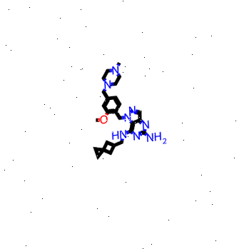 COc1cc(CN2CCN(C)CC2)ccc1Cn1ncc2nc(N)nc(NCC3CC4(CC4)C3)c21